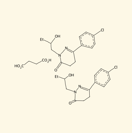 CCC(O)CN1N=C(c2ccc(Cl)cc2)CCC1=O.CCC(O)CN1N=C(c2ccc(Cl)cc2)CCC1=O.O=C(O)CCC(=O)O